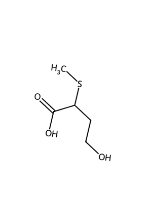 CSC(CCO)C(=O)O